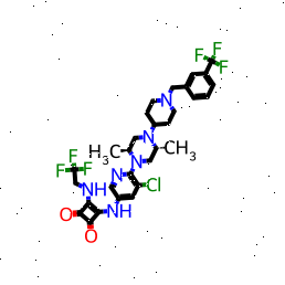 C[C@@H]1CN(c2ncc(Nc3c(NCC(F)(F)F)c(=O)c3=O)cc2Cl)[C@@H](C)CN1C1CCN(Cc2cccc(C(F)(F)F)c2)CC1